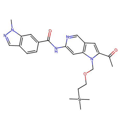 CC(=O)c1cc2cnc(NC(=O)c3ccc4cnn(C)c4c3)cc2n1COCC[Si](C)(C)C